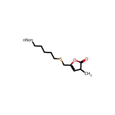 CCCCCCCCCCCCCCSCC1=CC(C)C(=O)O1